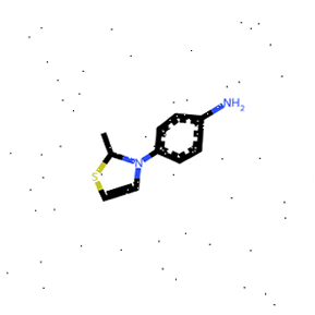 CC1SC=CN1c1ccc(N)cc1